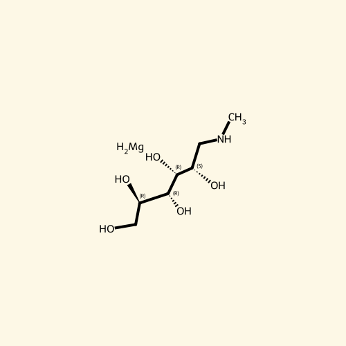 CNC[C@H](O)[C@@H](O)[C@H](O)[C@H](O)CO.[MgH2]